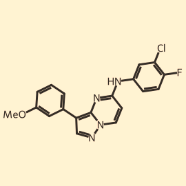 COc1cccc(-c2cnn3ccc(Nc4ccc(F)c(Cl)c4)nc23)c1